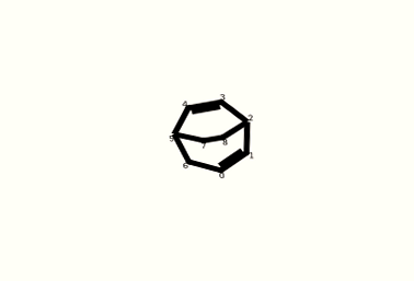 C1=CC2C=CC(C1)CC2